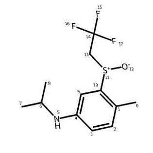 Cc1ccc(NC(C)C)cc1[S+]([O-])CC(F)(F)F